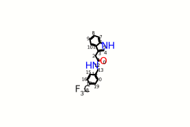 O=C(Cc1c[nH]c2ccccc12)NCc1ccc(C(F)(F)F)cc1